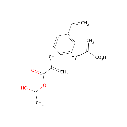 C=C(C)C(=O)O.C=C(C)C(=O)OC(C)O.C=Cc1ccccc1